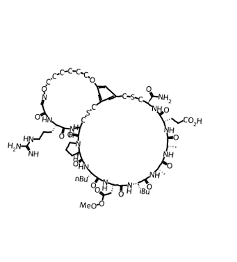 CCCC[C@@H]1NC(=O)[C@@H]2CCCN2C(=O)[C@@H]2CSCc3cc(cc(c3)OCCCCCCO/N=C/C(=O)N[C@@H](CCCNC(=N)N)C(=O)N2)CSC[C@@H](C(N)=O)NC(=O)[C@H](CCC(=O)O)NC(=O)[C@H](C)NC(=O)[C@H](C)NC(=O)[C@H]([C@@H](C)CC)NC(=O)[C@H](CC(=O)OOC)NC1=O